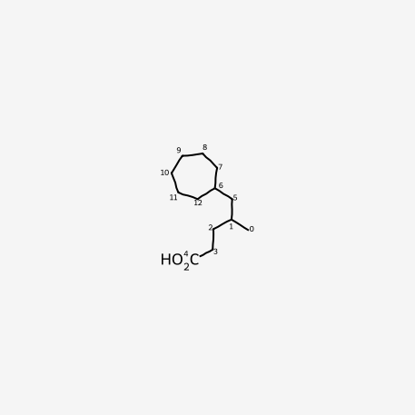 CC(CCC(=O)O)CC1CCCCCC1